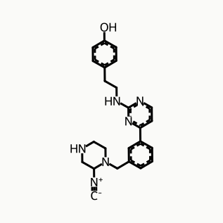 [C-]#[N+]C1CNCCN1Cc1cccc(-c2ccnc(NCCc3ccc(O)cc3)n2)c1